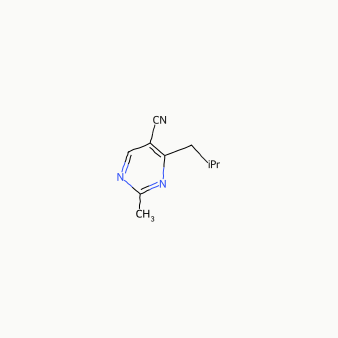 Cc1ncc(C#N)c(CC(C)C)n1